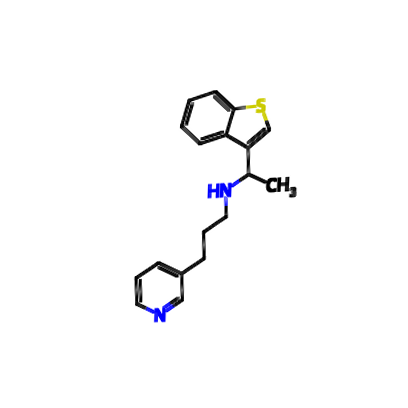 CC(NCCCc1cccnc1)c1csc2ccccc12